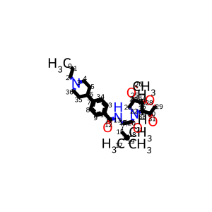 CCCN1CCC(c2ccc(C(=O)N[C@@H](CC(C)(C)C)C(=O)N3C[C@H](OC)[C@H]4OCC(=O)[C@H]43)cc2)CC1